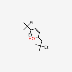 CC[C@H](/C=C\[C@@H](O)CC(C)(C)CC)C(C)(C)CC